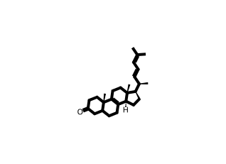 CC(C)=CC=C[C@@H](C)[C@H]1CC[C@H]2C3=C(CC[C@]12C)[C@@]1(C)CCC(=O)CC1CC3